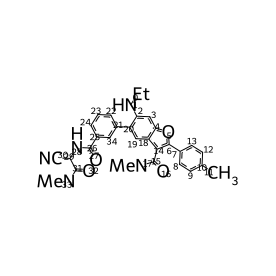 CCNc1cc2oc(-c3ccc(C)cc3)c(C(=O)NC)c2cc1-c1cccc(C(=O)NC(C#N)C(=O)NC)c1